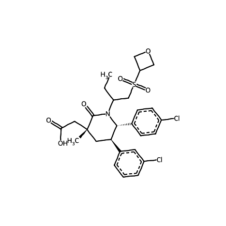 CCC(CS(=O)(=O)C1COC1)N1C(=O)[C@@](C)(CC(=O)O)C[C@H](c2cccc(Cl)c2)[C@H]1c1ccc(Cl)cc1